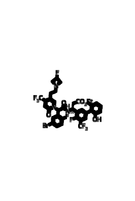 CCOC(=O)C[C@H](NC(=O)C(c1cc(Br)ccc1F)n1cc(CCN2CC(F)C2)c(C(F)(F)F)cc1=O)c1cc(-c2c(C)cccc2O)cc(C(F)(F)F)c1F